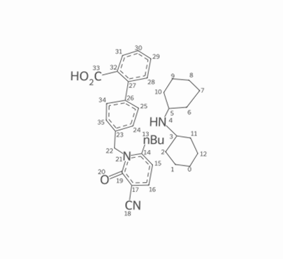 C1CCC(NC2CCCCC2)CC1.CCCCc1ccc(C#N)c(=O)n1Cc1ccc(-c2ccccc2C(=O)O)cc1